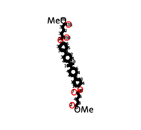 COC(=O)CCCC(=O)Oc1ccc(C2CCC(C(C)(C)C3CCC(c4ccc(OC(=O)CCCC(=O)OC)cc4)CC3)CC2)cc1